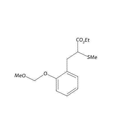 CCOC(=O)C(Cc1ccccc1OCOC)SC